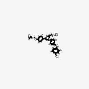 CCOCc1nc(-c2ccc(OC[C@H]3CO3)cc2)cn1-c1ccc(Oc2ccc(Cl)cc2)cc1